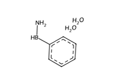 NBc1ccccc1.O.O